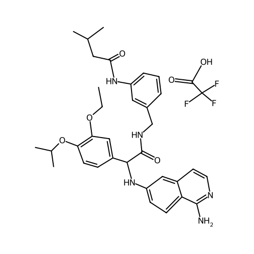 CCOc1cc(C(Nc2ccc3c(N)nccc3c2)C(=O)NCc2cccc(NC(=O)CC(C)C)c2)ccc1OC(C)C.O=C(O)C(F)(F)F